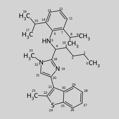 CCCCC(Nc1c(C(C)C)cccc1C(C)C)c1nc(-c2c(C)sc3ccccc23)cn1C